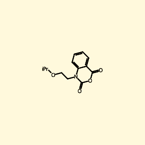 CC(C)OCCn1c(=O)oc(=O)c2ccccc21